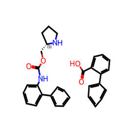 O=C(Nc1ccccc1-c1ccccc1)OC[C@@H]1CCCN1.O=C(O)c1ccccc1-c1ccccc1